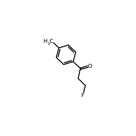 Cc1ccc(C(=O)CCF)cc1